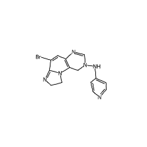 BrC1=CC2=C(CN(Nc3ccncc3)C=N2)N2CCN=C12